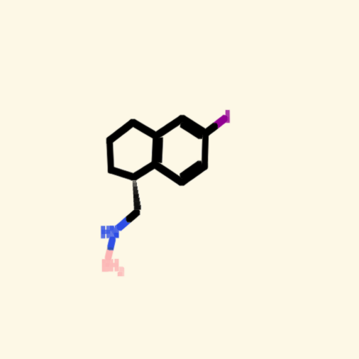 BNC[C@@H]1CCCc2cc(I)ccc21